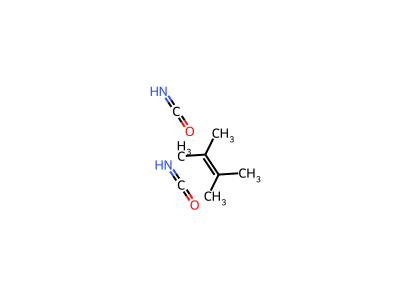 CC(C)=C(C)C.N=C=O.N=C=O